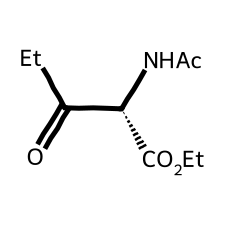 CCOC(=O)[C@@H](NC(C)=O)C(=O)CC